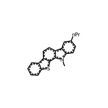 CCCc1ccc2c(c1)c1ccc3c4ccccc4sc3c1n2C